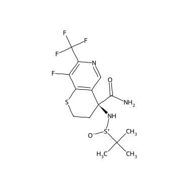 CC(C)(C)[S+]([O-])N[C@@]1(C(N)=O)CCSc2c1cnc(C(F)(F)F)c2F